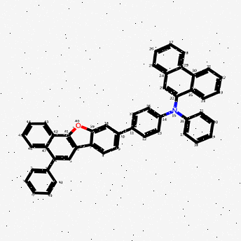 c1ccc(-c2cc3c4ccc(-c5ccc(N(c6ccccc6)c6cc7ccccc7c7ccccc67)cc5)cc4oc3c3ccccc23)cc1